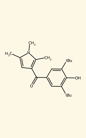 Cc1cc(C(=O)c2cc(C(C)(C)C)c(O)c(C(C)(C)C)c2)c(C)n1C